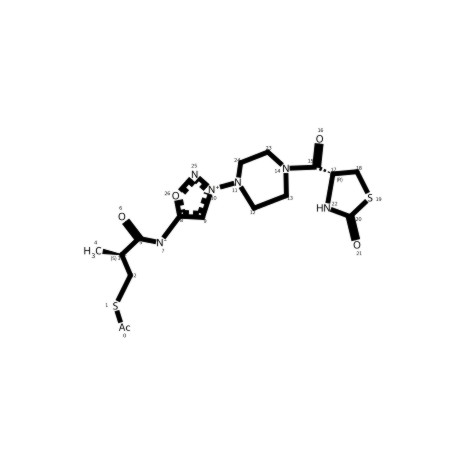 CC(=O)SC[C@@H](C)C(=O)[N-]c1c[n+](N2CCN(C(=O)[C@@H]3CSC(=O)N3)CC2)no1